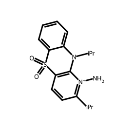 CC(C)c1ccc2c([n+]1N)N(C(C)C)c1ccccc1S2(=O)=O